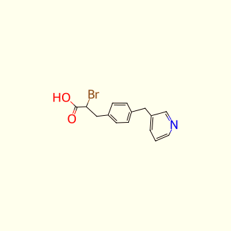 O=C(O)C(Br)Cc1ccc(Cc2cccnc2)cc1